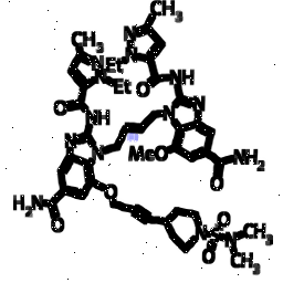 CCn1nc(C)cc1C(=O)Nc1nc2cc(C(N)=O)cc(OC)c2n1C/C=C/Cn1c(NC(=O)c2cc(C)nn2CC)nc2cc(C(N)=O)cc(OCC#CC3CCN(S(=O)(=O)N(C)C)CC3)c21